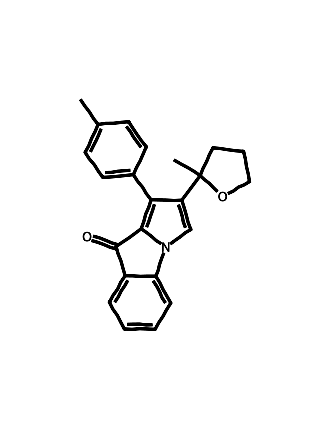 Cc1ccc(-c2c(C3(C)CCCO3)cn3c2C(=O)c2ccccc2-3)cc1